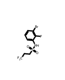 O=S(=O)(CCC(F)(F)F)Nc1cccc(Br)c1F